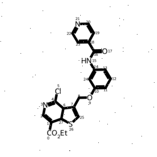 CCOC(=O)C1=CN=C(Cl)C2C(COc3cccc(NC(=O)c4ccncc4)c3)=CSC12